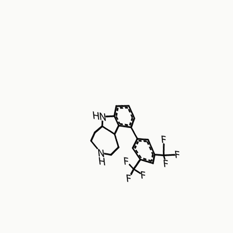 FC(F)(F)c1cc(-c2cccc3c2C2CCNCCC2N3)cc(C(F)(F)F)c1